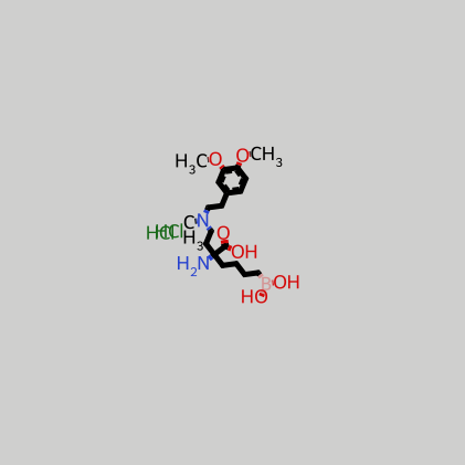 COc1ccc(CCN(C)CCC(N)(CCCCB(O)O)C(=O)O)cc1OC.Cl.Cl